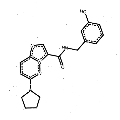 O=C(NCc1cccc(O)c1)c1cnc2ccc(N3CCCC3)nn12